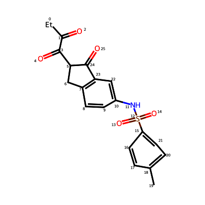 CCC(=O)C(=O)C1Cc2ccc(NS(=O)(=O)c3ccc(C)cc3)cc2C1=O